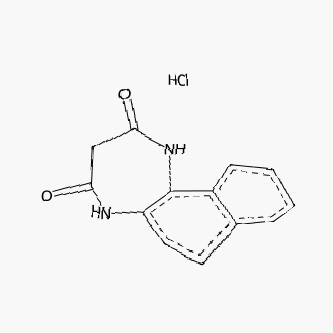 Cl.O=C1CC(=O)Nc2c(ccc3ccccc23)N1